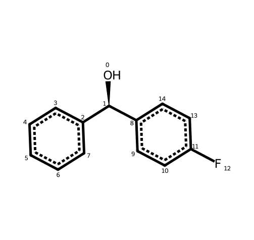 O[C@H](c1ccccc1)c1ccc(F)cc1